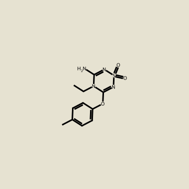 CCN1C(N)=NS(=O)(=O)N=C1Oc1ccc(C)cc1